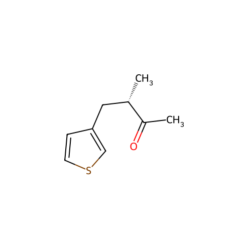 CC(=O)[C@@H](C)Cc1ccsc1